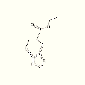 CCOC(=O)C1C=c2scnc2=CC1